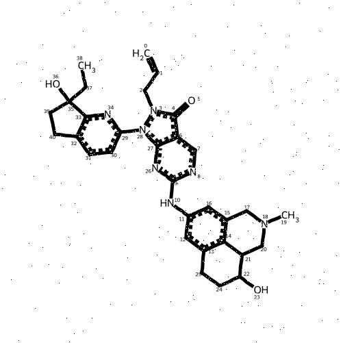 C=CCn1c(=O)c2cnc(Nc3cc4c5c(c3)CN(C)CC5C(O)CC4)nc2n1-c1ccc2c(n1)C(O)(CC)CC2